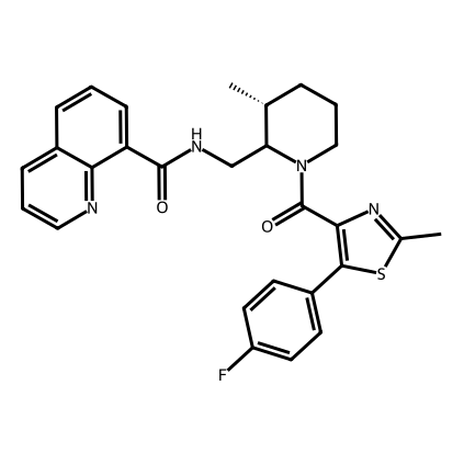 Cc1nc(C(=O)N2CCC[C@@H](C)C2CNC(=O)c2cccc3cccnc23)c(-c2ccc(F)cc2)s1